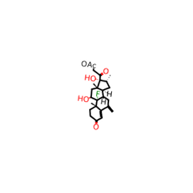 C=C1C[C@H]2[C@@H]3C[C@@H](C)[C@](O)(C(=O)COC(C)=O)[C@@]3(C)C[C@H](O)[C@]2(F)[C@@]2(C)CCC(=O)C=C12